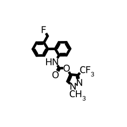 Cn1cc(OC(=O)Nc2ccccc2-c2ccccc2CF)c(C(F)(F)F)n1